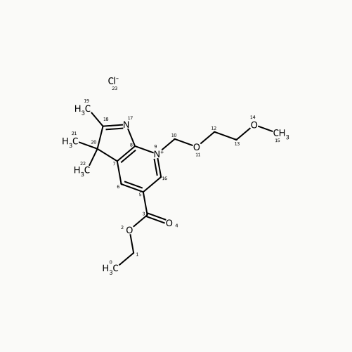 CCOC(=O)c1cc2c([n+](COCCOC)c1)N=C(C)C2(C)C.[Cl-]